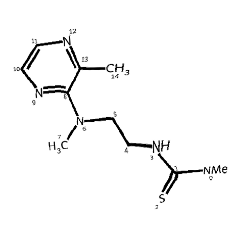 CNC(=S)NCCN(C)c1nccnc1C